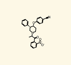 CC(C(=O)c1ccccc1[N+](=O)[O-])N1CC[C@H](Oc2ccc(C#N)cc2)[C@H](c2ccccc2)C1